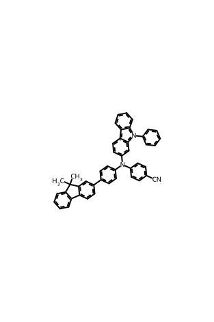 CC1(C)c2ccccc2-c2ccc(-c3ccc(N(c4ccc(C#N)cc4)c4ccc5c6ccccc6n(-c6ccccc6)c5c4)cc3)cc21